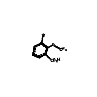 O=C(O)c1cccc(Br)c1OC(F)(F)F